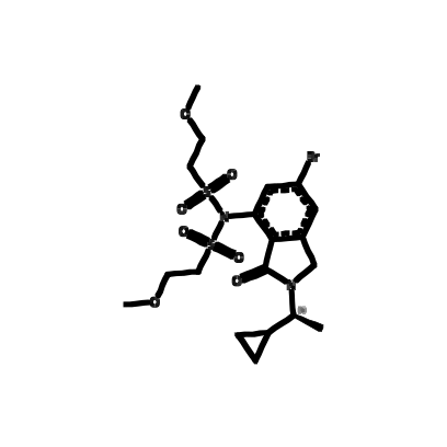 COCCS(=O)(=O)N(c1cc(Br)cc2c1C(=O)N([C@@H](C)C1CC1)C2)S(=O)(=O)CCOC